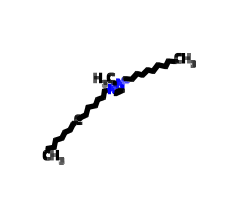 CCCCCCCCCCCCCCCCn1cc[n+](CCCCCCCCCCC)c1C